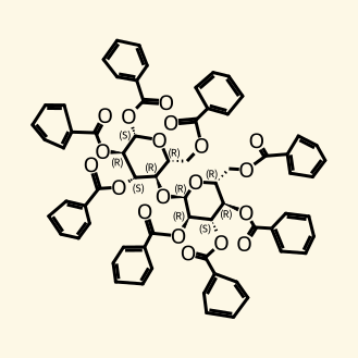 O=C(OC[C@H]1O[C@H](O[C@H]2[C@H](OC(=O)c3ccccc3)[C@@H](OC(=O)c3ccccc3)[C@H](OC(=O)c3ccccc3)O[C@@H]2COC(=O)c2ccccc2)[C@H](OC(=O)c2ccccc2)[C@@H](OC(=O)c2ccccc2)[C@@H]1OC(=O)c1ccccc1)c1ccccc1